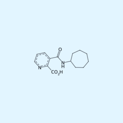 O=C(NC1CCCCCC1)c1cccnc1C(=O)O